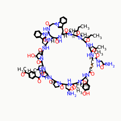 CCCC[C@H]1C(=O)N(C)[C@@H](CCCC)C(=O)N[C@@H](CC(C)C)C(=O)N[C@H](C(=O)NCC(N)=O)CSCC(=O)N[C@@H](Cc2ccc(O)cc2)C(=O)N(C)[C@@H](C)C(=O)N[C@@H](CC(N)=O)C(=O)N2CCC[C@H]2C(=O)N[C@@H](CNC(=O)c2ccc(C(C)=O)cc2)C(=O)N[C@@H](CC(C)C)C(=O)N2C[C@H](O)C[C@H]2C(=O)N[C@@H](Cc2c[nH]c3ccccc23)C(=O)N[C@H]2CCNC(=O)Cn3cc(c4ccccc43)C[C@H](NC2=O)C(=O)N1C